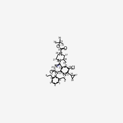 CCc1cccc(CC)c1N(C=O)c1nc(C2CC2)c(Cl)cc1/C(=N\C)N1CCN(C(=O)OC(C)(C)C)CC1C